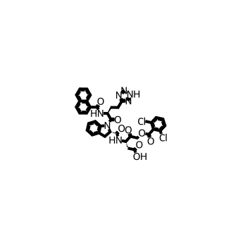 O=C(O)C[C@H](NC(=O)[C@@H]1Cc2ccccc2N1C(=O)[C@H](CCc1nn[nH]n1)NC(=O)c1cccc2ccccc12)C(=O)COC(=O)c1c(Cl)cccc1Cl